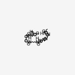 CCOc1cc(OC)ccc1CNCC(=O)N1CCCC(c2cccc(C(=O)NCCCCCNC(=O)c3ccc(N4CCN(Cc5cnc6cc(CC)c(=O)[nH]c6c5)CC4)cn3)c2)C1